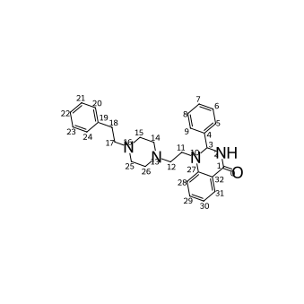 O=C1NC(c2ccccc2)N(CCN2CCN(CCc3ccccc3)CC2)c2ccccc21